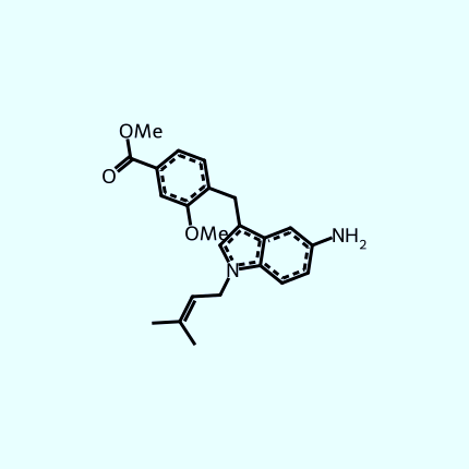 COC(=O)c1ccc(Cc2cn(CC=C(C)C)c3ccc(N)cc23)c(OC)c1